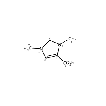 CN1C=C(C(=O)O)N(C)C1